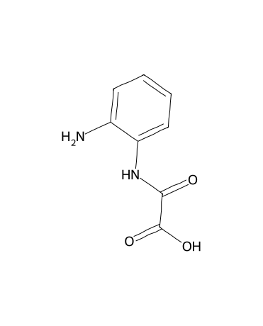 Nc1ccccc1NC(=O)C(=O)O